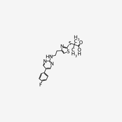 CC(C)(Sc1nc(CCNc2ncc(-c3ccc(F)cc3)cn2)cs1)C(=O)O